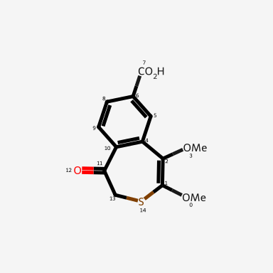 COC1=C(OC)c2cc(C(=O)O)ccc2C(=O)CS1